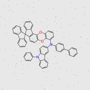 c1ccc(-c2ccc(N(c3ccc4c(c3)c3ccccc3n4-c3ccccc3)c3cccc4c3Oc3ccc5c(c3O4)-c3ccccc3C53c4ccccc4-c4ccccc43)cc2)cc1